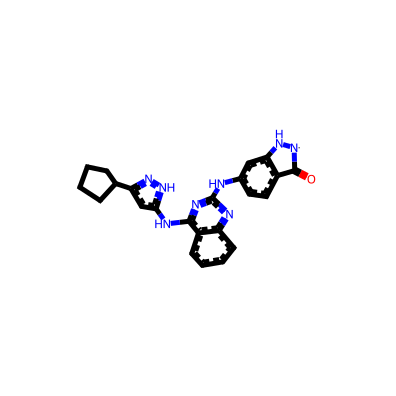 O=C1[N]Nc2cc(Nc3nc(Nc4cc(C5CCCC5)n[nH]4)c4ccccc4n3)ccc21